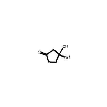 O=C1CCC(O)(O)C1